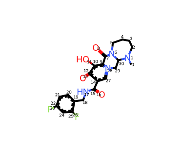 CN1CCCCN2C(=O)c3c(O)c(=O)c(C(=O)NCc4ccc(F)cc4F)cn3CC12